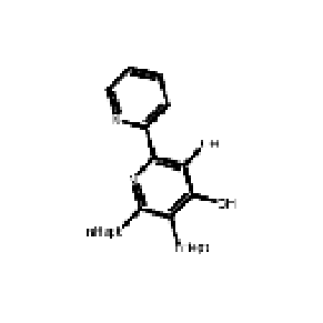 CCCCCCCc1nc(-c2ccccn2)c(O)c(O)c1CCCCCCC